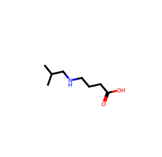 CC(C)CNCCCC(=O)O